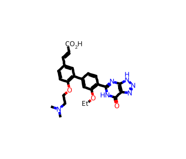 CCOc1cc(-c2cc(C=CC(=O)O)ccc2OCCN(C)C)ccc1-c1nc2[nH]nnc2c(=O)[nH]1